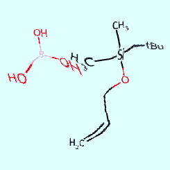 C=CCO[Si](C)(C)C(C)(C)C.OB(O)O